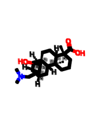 CN(C)C[C@H]1[C@H]2CC[C@@]3(CC[C@H]4[C@@](C)(CCC[C@@]4(C)C(=O)O)[C@@H]3C2)[C@@H]1O